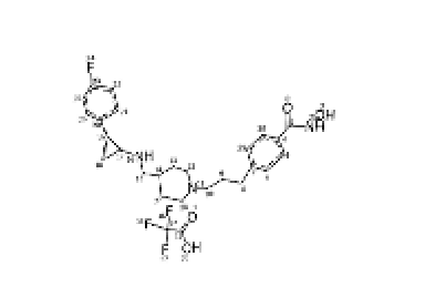 O=C(NO)c1ccc(CCCN2CCC(CNC3CC3c3ccc(F)cc3)CC2)cc1.O=C(O)C(F)(F)F